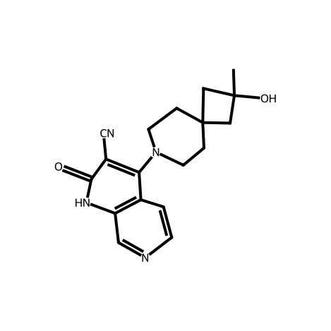 CC1(O)CC2(CCN(c3c(C#N)c(=O)[nH]c4cnccc34)CC2)C1